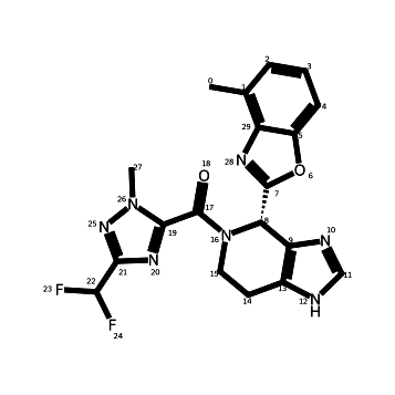 Cc1cccc2oc([C@@H]3c4nc[nH]c4CCN3C(=O)c3nc(C(F)F)nn3C)nc12